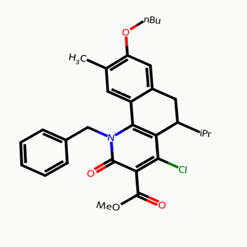 CCCCOc1cc2c(cc1C)-c1c(c(Cl)c(C(=O)OC)c(=O)n1Cc1ccccc1)C(C(C)C)C2